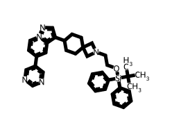 CC(C)(C)[Si](OCCN1CC2(CCC(c3cnn4ccc(-c5cncnc5)cc34)CC2)C1)(c1ccccc1)c1ccccc1